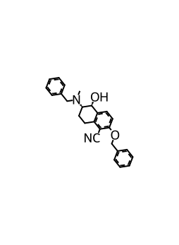 CN(Cc1ccccc1)[C@@H]1CCc2c(ccc(OCc3ccccc3)c2C#N)[C@@H]1O